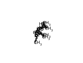 CCCCCc1ccc(C(=O)N(Cc2ccc(NC(=O)c3cc(OC)cc(OC)c3)cc2)C2CCN(CCC(C)C)CC2)cc1